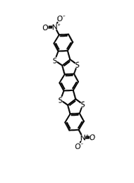 O=[N+]([O-])c1ccc2c(c1)sc1c3cc4sc5c6ccc([N+](=O)[O-])cc6sc5c4cc3sc21